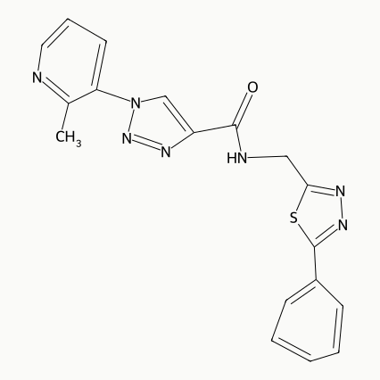 Cc1ncccc1-n1cc(C(=O)NCc2nnc(-c3ccccc3)s2)nn1